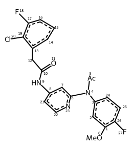 COc1cc(N(C(C)=O)c2cc(NC(=O)Cc3cccc(F)c3Cl)ccn2)ccc1F